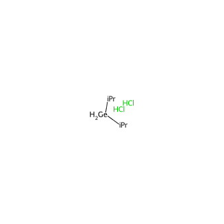 C[CH](C)[GeH2][CH](C)C.Cl.Cl